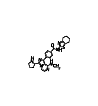 CNc1nccn2c(C3CCCN3)nc(-c3ccc(C(=O)Nc4nc5c(s4)CCCC5)cc3)c12